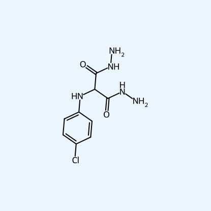 NNC(=O)C(Nc1ccc(Cl)cc1)C(=O)NN